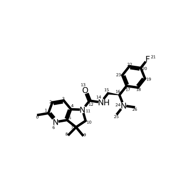 Cc1ccc2c(n1)C(C)(C)CN2C(=O)NC[C@@H](c1ccc(F)cc1)N(C)C